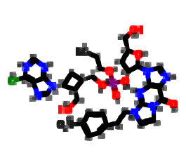 N#CCCOP(=O)(OC[C@H]1C[C@@H](n2cnc3c(Cl)ncnc32)[C@@H]1CO)O[C@@H]1C[C@@H](CO)OC1n1cnc2c(=O)n3ccn(CCc4ccc([N+](=O)[O-])cc4)c3nc21